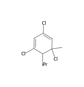 CC(C)C1C(Cl)=CC(Cl)=CC1(C)Cl